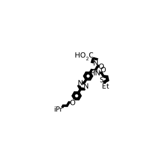 CCc1ccc(C(=O)N[C@@H](Cc2ccc(-c3ncc(-c4ccc(OCCCC(C)C)cc4)cn3)cc2)C(=O)N2CC(C(=O)O)C2)s1